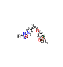 CC(C)c1noc(N2CCC([C@H]3C[C@H]3COCc3ccc(S(C)(=O)=O)c(F)c3)CC2)n1